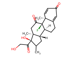 CC1C[C@H]2[C@@H]3CCC4=CC(=O)C=C[C@]4(C)[C@@]3(F)C(=O)C[C@]2(C)[C@@]1(O)C(=O)CO